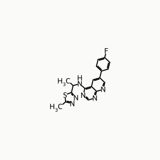 Cc1nnc(C(C)Nc2ncnc3ncc(-c4ccc(F)cc4)cc23)s1